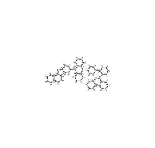 c1ccc(-c2cc3ccccc3c3ccccc23)c(-c2ccc(-c3c4ccccc4c(-c4ccc5oc6c7ccccc7ccc6c5c4)c4ccccc34)cc2)c1